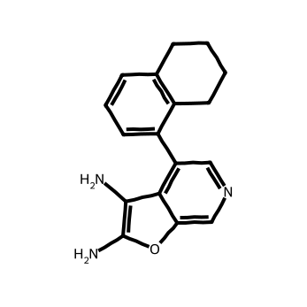 Nc1oc2cncc(-c3cccc4c3CCCC4)c2c1N